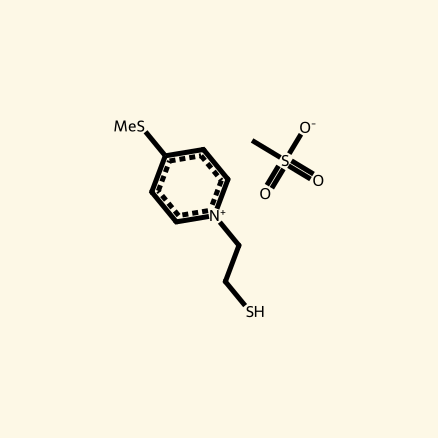 CS(=O)(=O)[O-].CSc1cc[n+](CCS)cc1